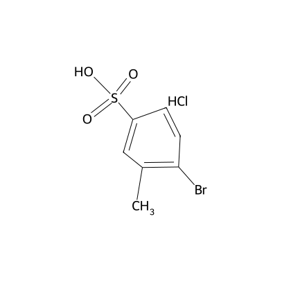 Cc1cc(S(=O)(=O)O)ccc1Br.Cl